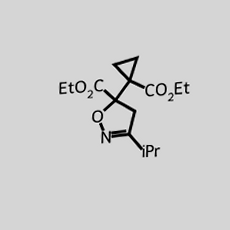 CCOC(=O)C1(C2(C(=O)OCC)CC(C(C)C)=NO2)CC1